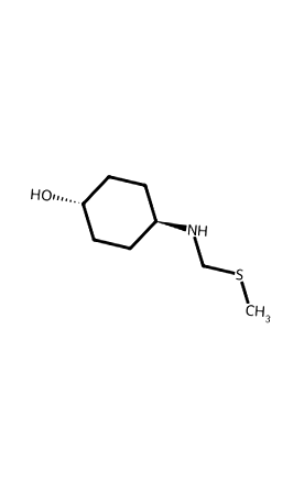 CSCN[C@H]1CC[C@H](O)CC1